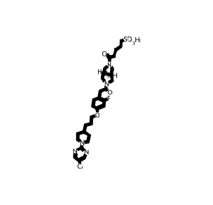 O=C(CCCCS(=O)(=O)O)N1C[C@@H]2CN(C(=O)Cc3ccc(OCCCC4CCN(c5ncc(Cl)cn5)CC4)cc3F)C[C@@H]2C1